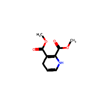 COC(=O)C1=C(C(=O)OC)NC=CC1